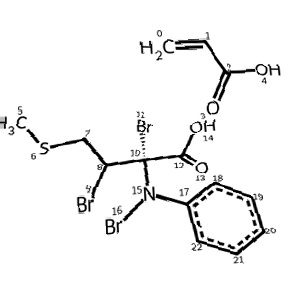 C=CC(=O)O.CSCC(Br)[C@@](Br)(C(=O)O)N(Br)c1ccccc1